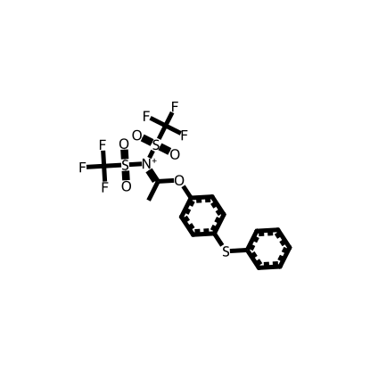 CC(Oc1ccc(Sc2ccccc2)cc1)=[N+](S(=O)(=O)C(F)(F)F)S(=O)(=O)C(F)(F)F